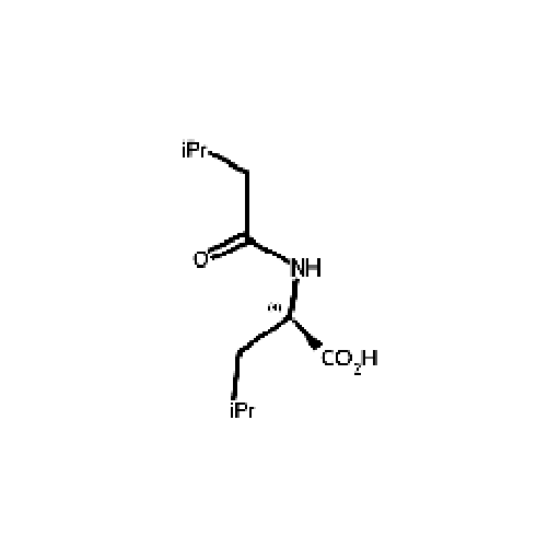 CC(C)CC(=O)N[C@H](CC(C)C)C(=O)O